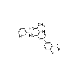 CC(=N)c1ncc(-c2ccc(F)c(C(F)F)c2)cc1NCc1cccnc1